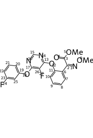 CO/N=C(\C(=O)OC)c1ccccc1Oc1ncnc(Oc2cccc(F)c2)c1F